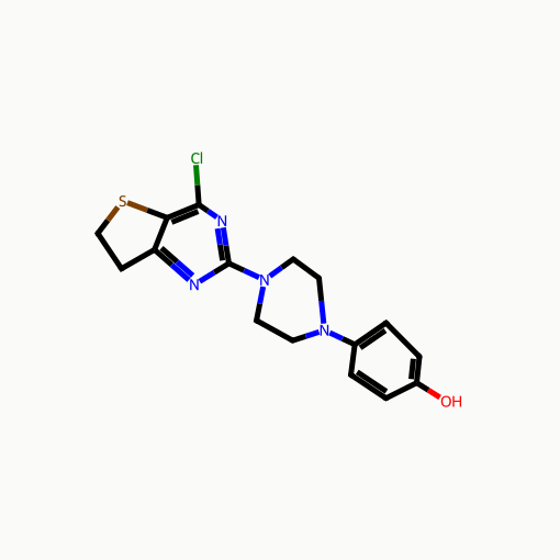 Oc1ccc(N2CCN(c3nc(Cl)c4c(n3)CCS4)CC2)cc1